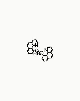 B(Oc1cccc2ccc3cccnc3c12)Oc1cccc2ccc3cccnc3c12